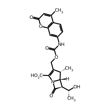 Cc1cc(=O)oc2cc(NC(=O)OCC3=C(C(=O)O)N4C(=O)[C@H]([C@@H](C)O)[C@H]4[C@H]3C)ccc12